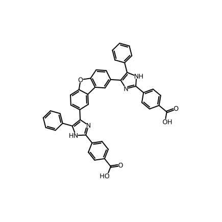 O=C(O)c1ccc(-c2nc(-c3ccc4oc5ccc(-c6nc(-c7ccc(C(=O)O)cc7)[nH]c6-c6ccccc6)cc5c4c3)c(-c3ccccc3)[nH]2)cc1